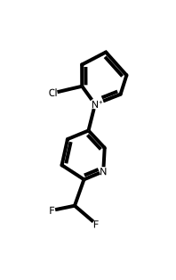 FC(F)c1ccc(-[n+]2ccccc2Cl)cn1